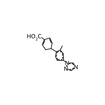 Cc1cc(-n2cncn2)ccc1C1C=CC(C(=O)O)=CC1